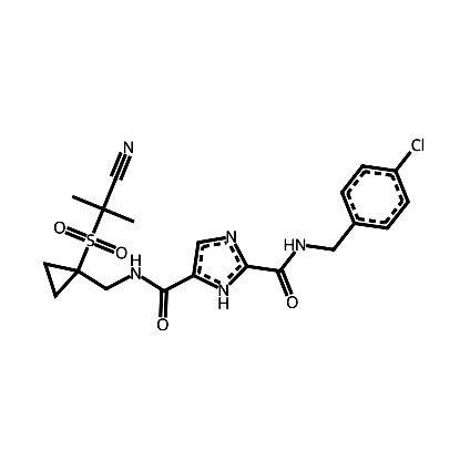 CC(C)(C#N)S(=O)(=O)C1(CNC(=O)c2cnc(C(=O)NCc3ccc(Cl)cc3)[nH]2)CC1